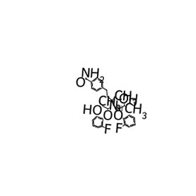 CC(O)C(Oc1ccccc1F)N(C(C)CCc1ccc(C(N)=O)cc1)[C@H](Oc1ccccc1F)C(C)O